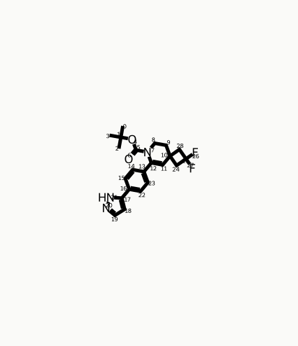 CC(C)(C)OC(=O)N1CCC2(C=C1c1ccc(-c3ccn[nH]3)cc1)CC(F)(F)C2